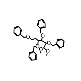 COC(OC)C(OCc1ccccc1)C(OCc1ccccc1)C(CCOCc1ccccc1)OCc1ccccc1